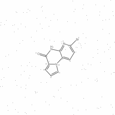 O=c1[nH]c2nc(Br)ccc2n2cccc12